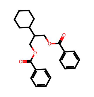 O=C(OCC(COC(=O)c1ccccc1)C1CCCCC1)c1ccccc1